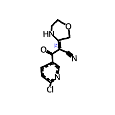 N#C/C(C(=O)c1ccc(Cl)nc1)=C1\COCCN1